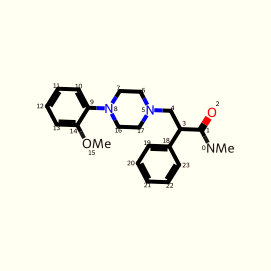 CNC(=O)C(CN1CCN(c2ccccc2OC)CC1)c1ccccc1